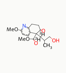 [2H]C([2H])(C(C)CO)C1(C(=O)OC)C(=O)CCc2nc(OC)ccc21